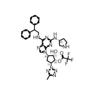 Cc1nnn([C@H]2C[C@@H](n3cnc4c(NCC(c5ccccc5)c5ccccc5)nc(N[C@@H]5CCNC5)nc43)[C@H](O)[C@@H]2OC(=O)C(F)(F)F)n1